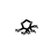 CC1OCOC(C)(C)C1(C)C